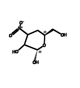 O=[N+]([O-])C1C[C@@H](CO)O[C@H](O)C1O